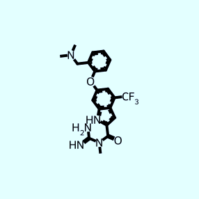 CN(C)Cc1ccccc1Oc1cc(C(F)(F)F)c2cc(C(=O)N(C)C(=N)N)[nH]c2c1